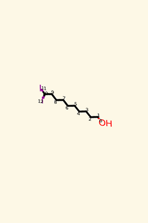 OCCCCCCCCCC(I)I